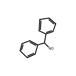 O=NC(c1ccccc1)c1ccccc1